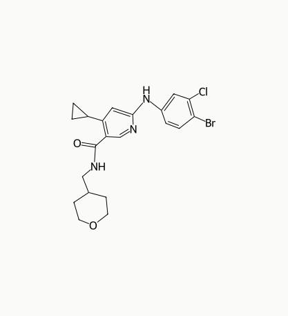 O=C(NCC1CCOCC1)c1cnc(Nc2ccc(Br)c(Cl)c2)cc1C1CC1